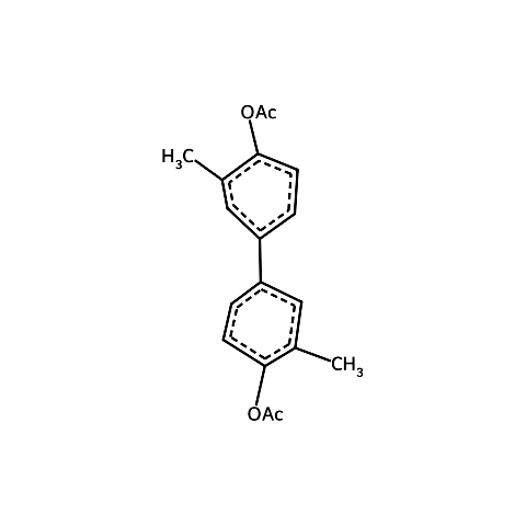 CC(=O)Oc1ccc(-c2ccc(OC(C)=O)c(C)c2)cc1C